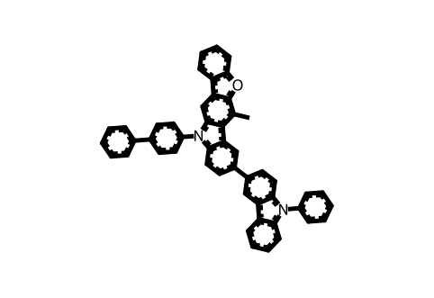 Cc1c2oc3ccccc3c2cc2c1c1cc(-c3ccc4c(c3)c3ccccc3n4-c3ccccc3)ccc1n2-c1ccc(-c2ccccc2)cc1